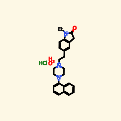 CCN1C(=O)Cc2cc(CCN3CCN(c4cccc5ccccc45)CC3)ccc21.Cl.O